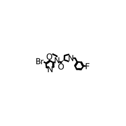 O=C([C@H]1CCN(Cc2cccc(F)c2)C1)N1CCOc2c(Br)cncc21